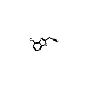 N#CCc1nc2c(Cl)cccc2s1